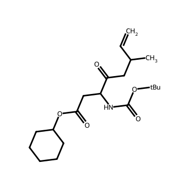 C=CC(C)CC(=O)C(CC(=O)OC1CCCCC1)NC(=O)OC(C)(C)C